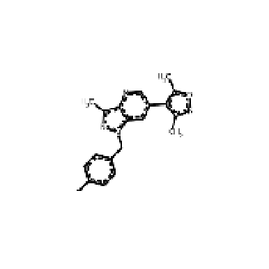 Cc1noc(C)c1-c1cnc2c(C)nn(Cc3ccc(F)cc3)c2c1